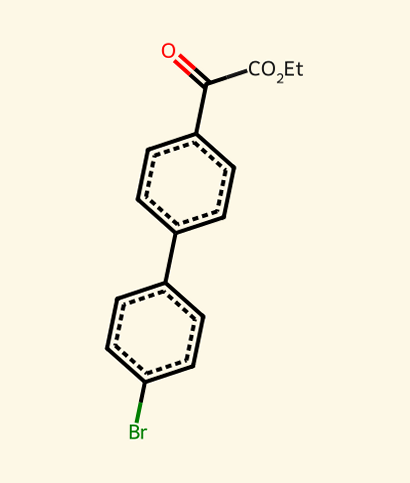 CCOC(=O)C(=O)c1ccc(-c2ccc(Br)cc2)cc1